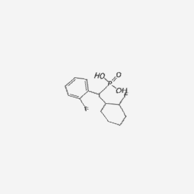 O=P(O)(O)C(c1ccccc1F)C1CCCCC1F